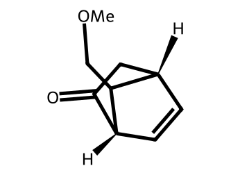 COCC1[C@@H]2C=C[C@H]1CC2=O